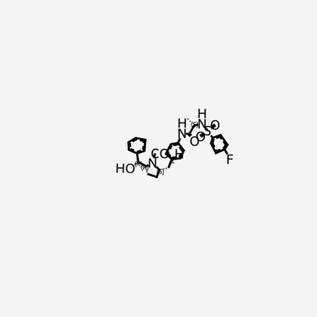 C[C@H](NS(=O)(=O)c1ccc(F)cc1)C(=O)Nc1ccc(C[C@@H]2CC[C@H]([C@H](O)c3ccccc3)N2C(=O)O)cc1